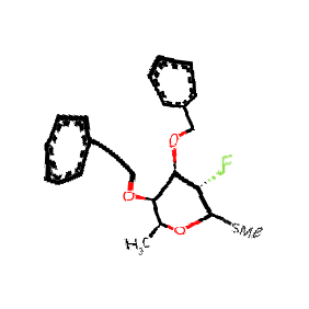 CSC1O[C@@H](C)[C@@H](OCc2ccccc2)[C@@H](OCc2ccccc2)[C@@H]1F